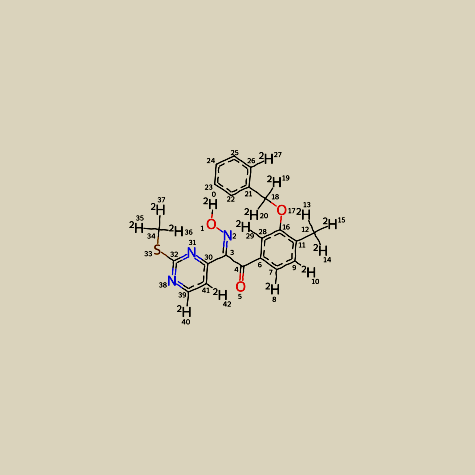 [2H]ON=C(C(=O)c1c([2H])c([2H])c(C([2H])([2H])[2H])c(OC([2H])([2H])c2ccccc2[2H])c1[2H])c1nc(SC([2H])([2H])[2H])nc([2H])c1[2H]